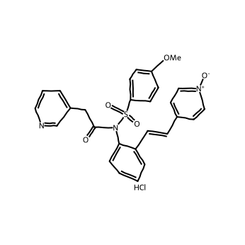 COc1ccc(S(=O)(=O)N(C(=O)Cc2cccnc2)c2ccccc2/C=C/c2cc[n+]([O-])cc2)cc1.Cl